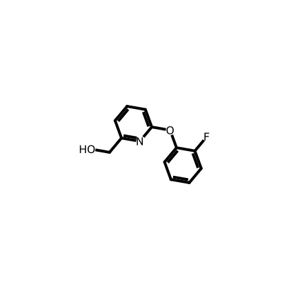 OCc1cccc(Oc2ccccc2F)n1